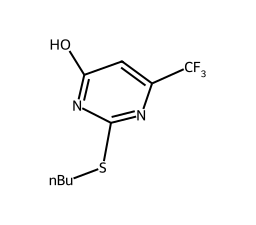 CCCCSc1nc(O)cc(C(F)(F)F)n1